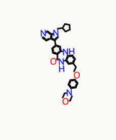 O=C1Nc2cc(CCOc3ccc(N4CCOCC4)cc3)ccc2Nc2cc(-c3cn(CC4CCCC4)c4cnccc34)ccc21